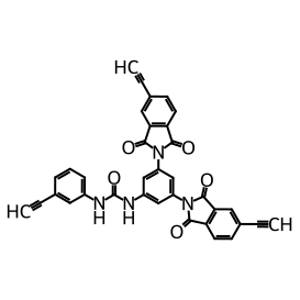 C#Cc1cccc(NC(=O)Nc2cc(N3C(=O)c4ccc(C#C)cc4C3=O)cc(N3C(=O)c4ccc(C#C)cc4C3=O)c2)c1